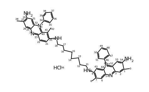 Cc1cc2nc3cc(C)c(NCCCCCCCCNc4ccc5nc6cc(C)c(N)cc6[n+](-c6ccccc6)c5c4C)cc3[n+](-c3ccccc3)c2cc1N.Cl